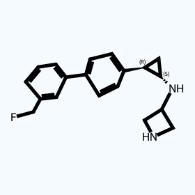 FCc1cccc(-c2ccc([C@H]3C[C@@H]3NC3CNC3)cc2)c1